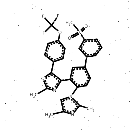 Cc1cn(-c2ccc(-c3cccc(S(C)(=O)=O)c3)cc2-c2nc(C)oc2-c2ccc(OC(F)(F)F)cc2)c(C)n1